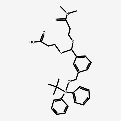 CN(C)C(=O)CCSC(SCCC(=O)O)c1cccc(CO[Si](c2ccccc2)(c2ccccc2)C(C)(C)C)c1